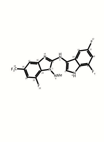 CNn1c(Nc2c[nH]c3c(F)cc(F)cc23)nc2cc(C(F)(F)F)cc(F)c21